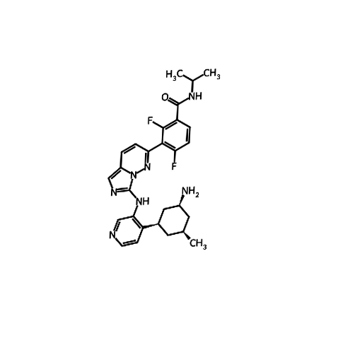 CC(C)NC(=O)c1ccc(F)c(-c2ccc3cnc(Nc4cnccc4[C@@H]4C[C@H](C)C[C@H](N)C4)n3n2)c1F